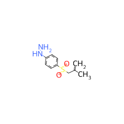 C=C(C)CS(=O)(=O)c1ccc(NN)cc1